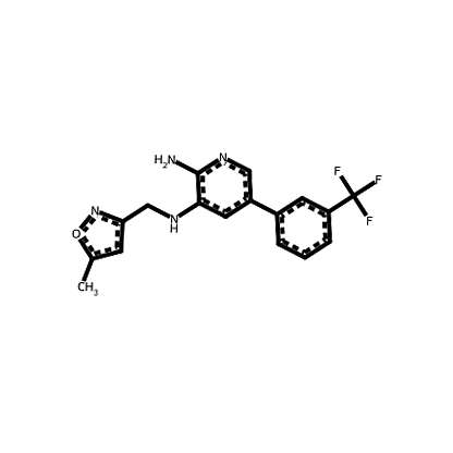 Cc1cc(CNc2cc(-c3cccc(C(F)(F)F)c3)cnc2N)no1